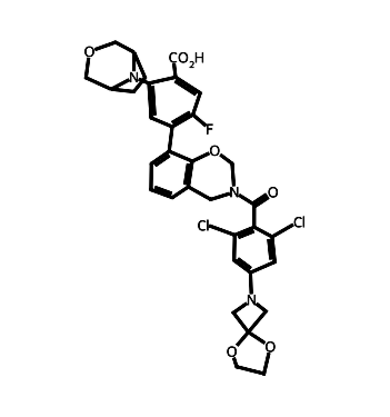 O=C(O)c1cc(F)c(-c2cccc3c2OCN(C(=O)c2c(Cl)cc(N4CC5(C4)OCCO5)cc2Cl)C3)cc1N1C2CCC1COC2